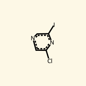 Clc1cncc(I)n1